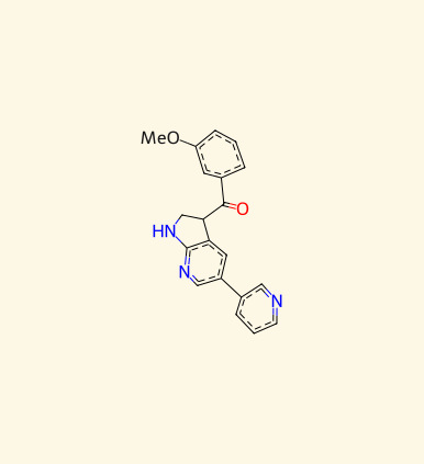 COc1cccc(C(=O)C2CNc3ncc(-c4cccnc4)cc32)c1